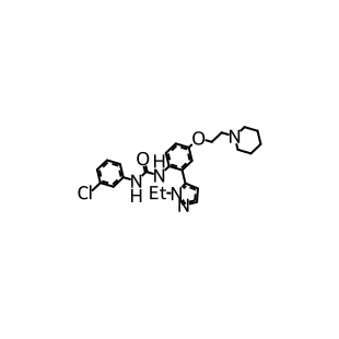 CCn1nccc1-c1cc(OCCN2CCCCC2)ccc1NC(=O)Nc1cccc(Cl)c1